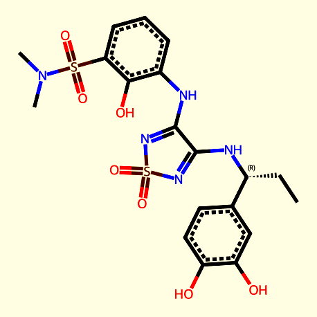 CC[C@@H](NC1=NS(=O)(=O)N=C1Nc1cccc(S(=O)(=O)N(C)C)c1O)c1ccc(O)c(O)c1